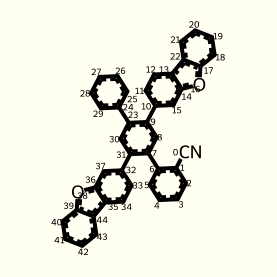 N#Cc1ccccc1-c1cc(-c2ccc3c(c2)oc2ccccc23)c(-c2ccccc2)cc1-c1ccc2c(c1)oc1ccccc12